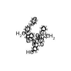 C=CCN1CC(=O)N2[C@@H](Cc3ccc(O)cc3)C(=O)N(Cc3cccc4c(C(=C)N5CCN(CCN6CCOCC6)CC5)cn(C)c34)C[C@@H]2N1C(=O)NCc1ccccc1